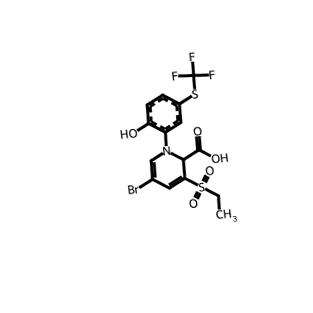 CCS(=O)(=O)C1=CC(Br)=CN(c2cc(SC(F)(F)F)ccc2O)C1C(=O)O